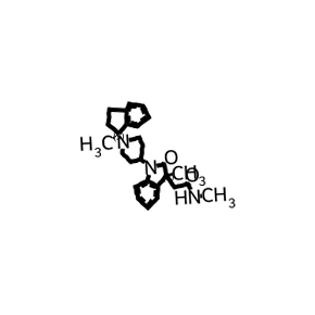 CNC(=O)C[C@@]1(C)C(=O)N(C2CCN([C@@]3(C)CCc4ccccc43)CC2)c2ccccc21